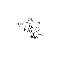 CC(C)(CN)CC(N)C1CCC1(C(=O)O)C(=O)O.[Pt]